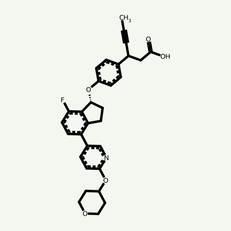 CC#CC(CC(=O)O)c1ccc(O[C@@H]2CCc3c(-c4ccc(OC5CCOCC5)nc4)ccc(F)c32)cc1